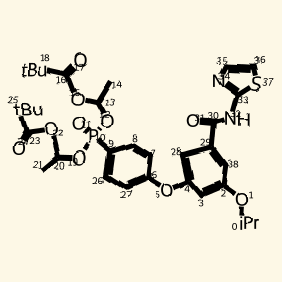 CC(C)Oc1cc(Oc2ccc(P(=O)(OC(C)OC(=O)C(C)(C)C)OC(C)OC(=O)C(C)(C)C)cc2)cc(C(=O)Nc2nccs2)c1